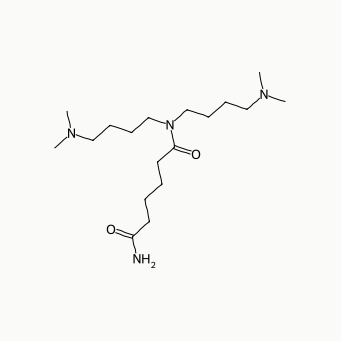 CN(C)CCCCN(CCCCN(C)C)C(=O)CCCCC(N)=O